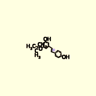 CC(C)(C)Oc1cc(O)cc(/C=C/c2ccc(O)cc2)c1